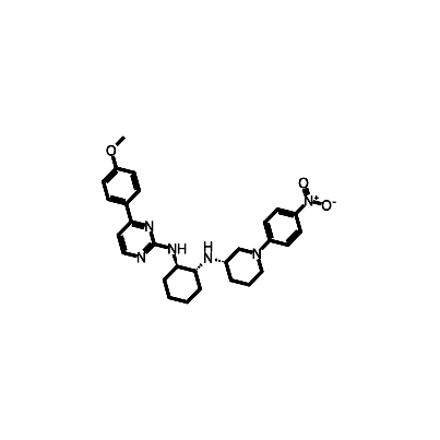 COc1ccc(-c2ccnc(N[C@@H]3CCCC[C@H]3N[C@H]3CCCN(c4ccc([N+](=O)[O-])cc4)C3)n2)cc1